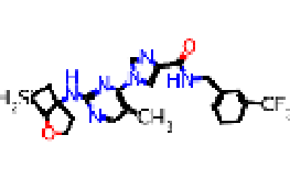 Cc1cnc(NC23CCOC2[SiH2]C3)nc1-n1cnc(C(=O)NCC2=CCCC(C(F)(F)F)=C2)c1